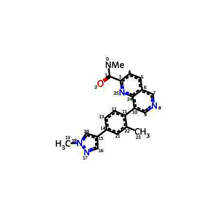 CNC(=O)c1ccc2cncc(-c3ccc(-c4cnn(C)c4)cc3C)c2n1